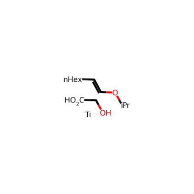 CCCCCCC=COC(C)C.O=C(O)CO.[Ti]